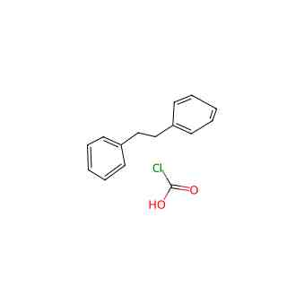 O=C(O)Cl.c1ccc(CCc2ccccc2)cc1